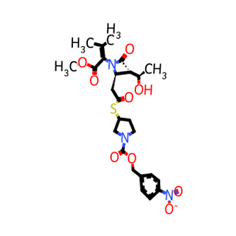 COC(=O)C(=C(C)C)N1C(=O)[C@H]([C@@H](C)O)[C@H]1CC(=O)SC1CCN(C(=O)OCc2ccc([N+](=O)[O-])cc2)C1